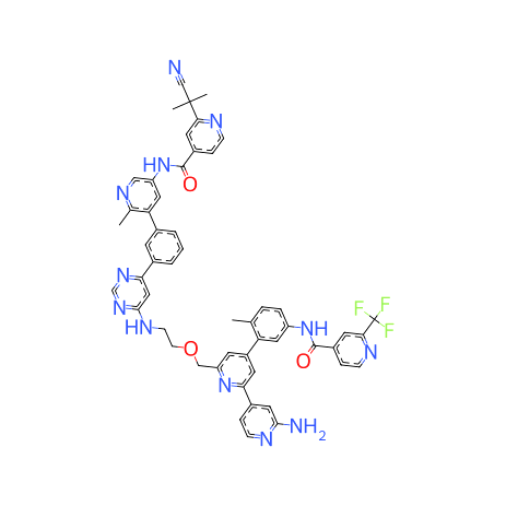 Cc1ccc(NC(=O)c2ccnc(C(F)(F)F)c2)cc1-c1cc(COCCNc2cc(-c3cccc(-c4cc(NC(=O)c5ccnc(C(C)(C)C#N)c5)cnc4C)c3)ncn2)nc(-c2ccnc(N)c2)c1